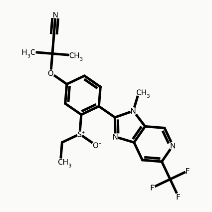 CC[S+]([O-])c1cc(OC(C)(C)C#N)ccc1-c1nc2cc(C(F)(F)F)ncc2n1C